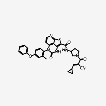 Cc1cc(Oc2ccccc2)ccc1N1C(=O)Nc2c(C(=O)NC3CCN(C(=O)C(C#N)=CC4CC4)C3)sc3nccc1c23